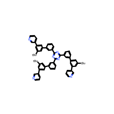 CC(C)(C)c1cc(-c2cccnc2)cc(-c2cccc(-c3nc(-c4cccc(-c5cc(-c6cccnc6)cc(C(C)(C)C)c5)c4)nc(-c4cccc(-c5cc(-c6cccnc6)cc(C(C)(C)C)c5)c4)n3)c2)c1